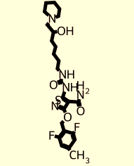 Cc1cc(F)c(COc2nsc(NC(=O)NCCCCCC(O)CN3CCCCC3)c2C(N)=O)c(F)c1